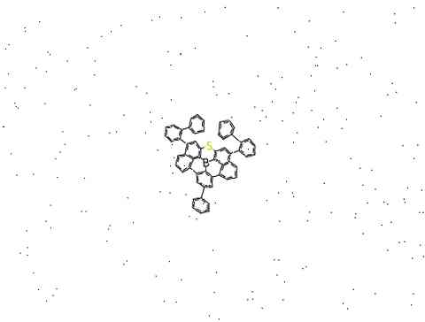 c1ccc(-c2cc3c4c(c2)-c2cccc5c(-c6ccccc6-c6ccccc6)cc6c(c25)B4c2c(cc(-c4ccccc4-c4ccccc4)c4cccc-3c24)S6)cc1